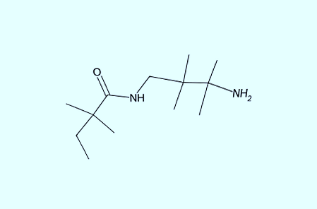 CCC(C)(C)C(=O)NCC(C)(C)C(C)(C)N